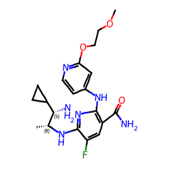 COCCOc1cc(Nc2nc(N[C@H](C)[C@@H](N)C3CC3)c(F)cc2C(N)=O)ccn1